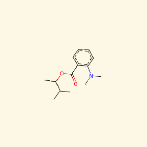 CC(C)C(C)OC(=O)c1ccccc1N(C)C